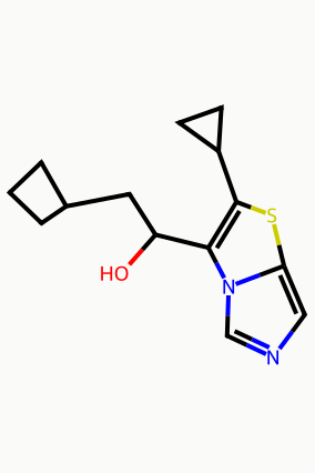 OC(CC1CCC1)c1c(C2CC2)sc2cncn12